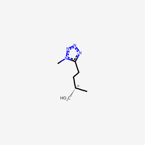 C[C@@H](CCc1nnnn1C)C(=O)O